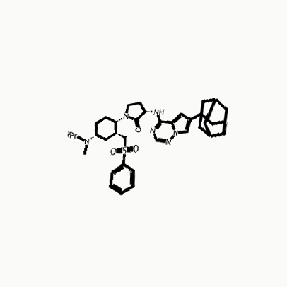 CC(C)N(C)[C@@H]1CC[C@H](N2CC[C@H](Nc3ncnn4cc(C56CC7CC(CC(C7)C5)C6)cc34)C2=O)[C@@H](CS(=O)(=O)c2ccccc2)C1